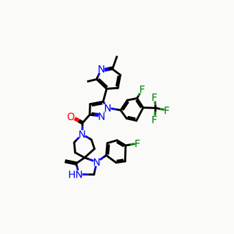 C=C1NCN(c2ccc(F)cc2)C12CCN(C(=O)c1cc(-c3ccc(C)nc3C)n(-c3ccc(C(F)(F)F)c(F)c3)n1)CC2